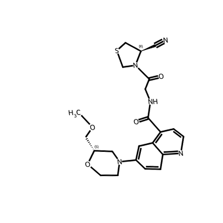 COC[C@@H]1CN(c2ccc3nccc(C(=O)NCC(=O)N4CSC[C@H]4C#N)c3c2)CCO1